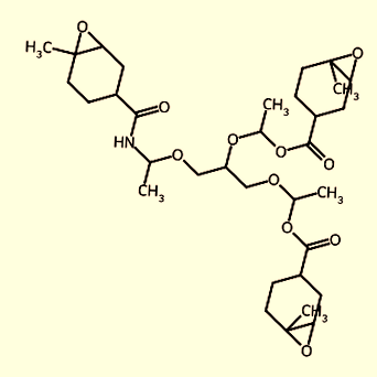 CC(NC(=O)C1CCC2(C)OC2C1)OCC(COC(C)OC(=O)C1CCC2(C)OC2C1)OC(C)OC(=O)C1CCC2(C)OC2C1